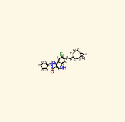 O=c1c2c[nH]c3cc(CCC4CCCC5C[C@@H]5CC4)c(F)cc3c-2nn1-c1ccccc1